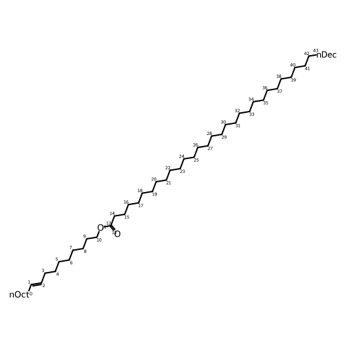 CCCCCCCC/C=C/CCCCCCCCOC(=O)CCCCCCCCCCCCCCCCCCCCCCCCCCCCCCCCCCCCCCC